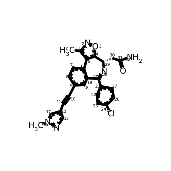 Cc1noc2c1-c1ccc(C#Cc3cnn(C)c3)cc1C(c1ccc(Cl)cc1)=N[C@H]2CC(N)=O